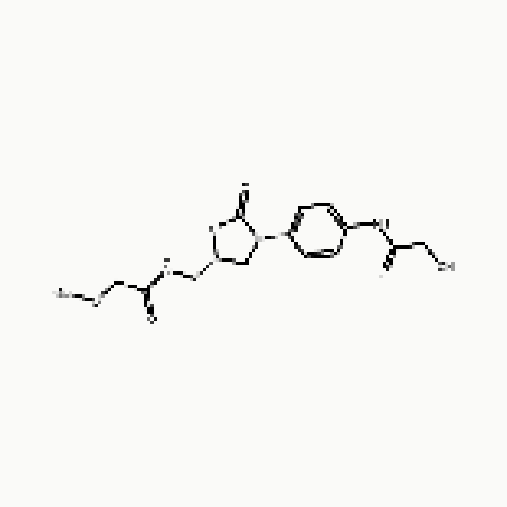 CC(C)(C)OCC(=O)NC[C@H]1CN(c2ccc(NC(=O)CO)cc2)C(=O)O1